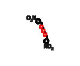 O=[N+]([O-])c1ccc(COCOCOCc2ccc([N+](=O)[O-])cc2)cc1